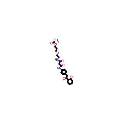 CC(=O)OCCCOCCNC(=O)CC(=O)Nc1ccc(CC(=O)C2CCCCC2=O)cc1